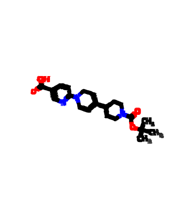 CC(C)(C)OC(=O)N1CCC(C2CCN(c3ccc(C(=O)O)cn3)CC2)CC1